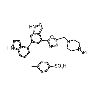 CC(C)N1CCN(Cc2cnc(-c3cc(-c4cccc5[nH]ccc45)cc4[nH]ncc34)o2)CC1.Cc1ccc(S(=O)(=O)O)cc1